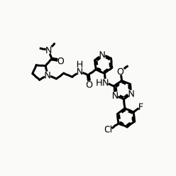 COc1cnc(-c2cc(Cl)ccc2F)nc1Nc1ccncc1C(=O)NCCCN1CCCC1C(=O)N(C)C